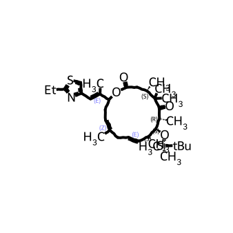 CCc1nc(/C=C(\C)C2C/C=C(/C)C/C=C/[C@H](C)[C@H](O[Si](C)(C)C(C)(C)C)[C@@H](C)C(=O)C(C)(C)[C@@H](C)CC(=O)O2)cs1